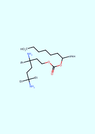 CCCCCCC(CCCCCC(=O)O)OC(=O)OCCC(N)(CCC(N)(CC)CC)C(C)C